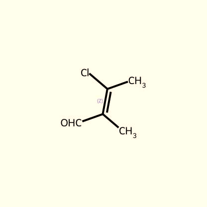 C/C(Cl)=C(\C)C=O